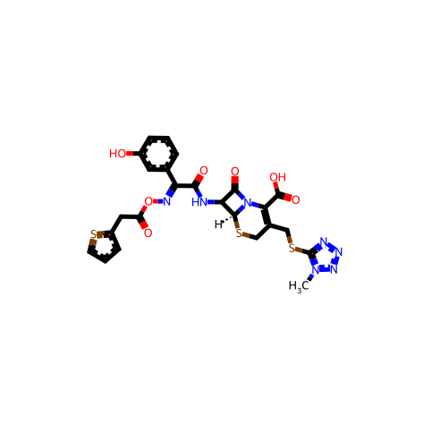 Cn1nnnc1SCC1=C(C(=O)O)N2C(=O)C(NC(=O)C(=NOC(=O)Cc3cccs3)c3cccc(O)c3)[C@@H]2SC1